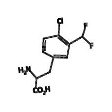 NC(Cc1ccc(Cl)c(C(F)F)c1)C(=O)O